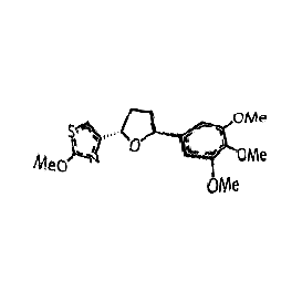 COc1nc([C@@H]2CC[C@@H](c3cc(OC)c(OC)c(OC)c3)O2)cs1